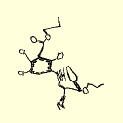 CCCOC(=O)C(C#N)=CNc1cc(Cl)c(Cl)c(C(=O)OCCC)c1Cl